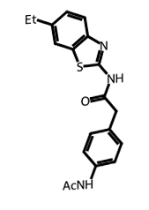 CCc1ccc2nc(NC(=O)Cc3ccc(NC(C)=O)cc3)sc2c1